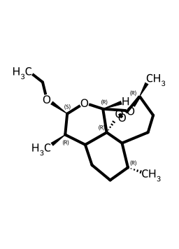 CCO[C@H]1O[C@@H]2O[C@@]3(C)CCC4[C@H](C)CCC([C@H]1C)[C@]42OO3